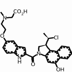 C[C@@H](Cl)[C@@H]1CN(C(=O)c2cc3cc(OCCN(C)CC(=O)O)ccc3[nH]2)c2cc(O)c3ccccc3c21